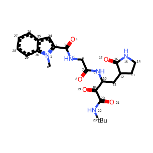 Cn1c(C(=O)NCC(=O)NC(CC2CCNC2=O)C(=O)C(=O)NC(C)(C)C)cc2ccccc21